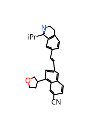 CC(C)C1=NCCc2ccc(/C=C/c3cc(C4CCOC4)c4cc(C#N)ccc4c3)cc21